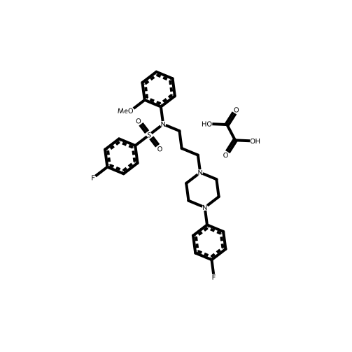 COc1ccccc1N(CCCN1CCN(c2ccc(F)cc2)CC1)S(=O)(=O)c1ccc(F)cc1.O=C(O)C(=O)O